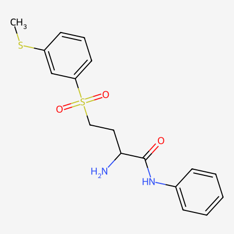 CSc1cccc(S(=O)(=O)CCC(N)C(=O)Nc2ccccc2)c1